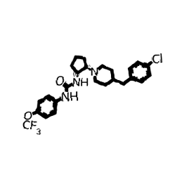 O=C(Nc1ccc(OC(F)(F)F)cc1)N[C@@H]1CCC[C@H]1N1CCC(Cc2ccc(Cl)cc2)CC1